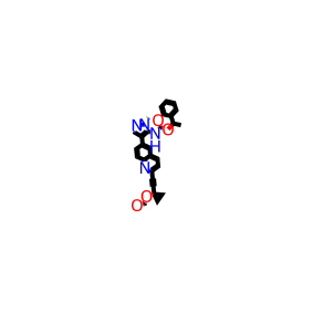 CC(OC(=O)Nc1c(-c2ccc3nc(C#CC4(OC=O)CC4)ccc3c2)cnn1C)c1ccccc1